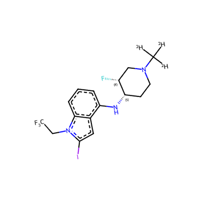 [2H]C([2H])([2H])N1CC[C@H](Nc2cccc3c2cc(I)n3CC(F)(F)F)[C@H](F)C1